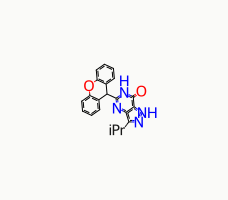 CC(C)c1n[nH]c2c(=O)[nH]c(C3c4ccccc4Oc4ccccc43)nc12